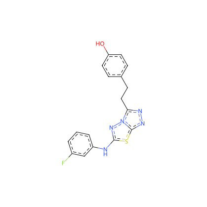 Oc1ccc(CCc2nnc3sc(Nc4cccc(F)c4)nn23)cc1